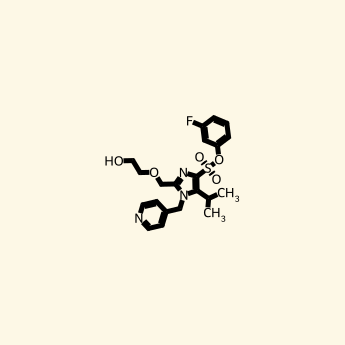 CC(C)c1c(S(=O)(=O)Oc2cccc(F)c2)nc(COCCO)n1Cc1ccncc1